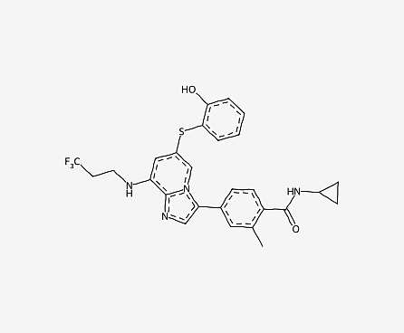 Cc1cc(-c2cnc3c(NCCC(F)(F)F)cc(Sc4ccccc4O)cn23)ccc1C(=O)NC1CC1